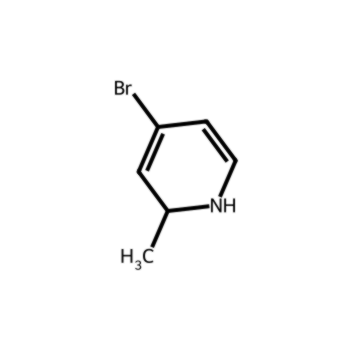 CC1C=C(Br)C=CN1